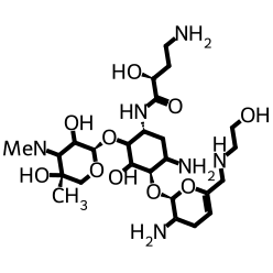 CNC1C(O)[C@@H](OC2C(O)[C@H](O[C@H]3OC(CNCCO)=CCC3N)C(N)C[C@H]2NC(=O)[C@@H](O)CCN)OC[C@]1(C)O